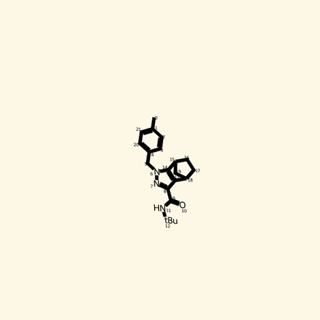 Cc1ccc(Cn2nc(C(=O)NC(C)(C)C)c3c2C2CCC3C2)cc1